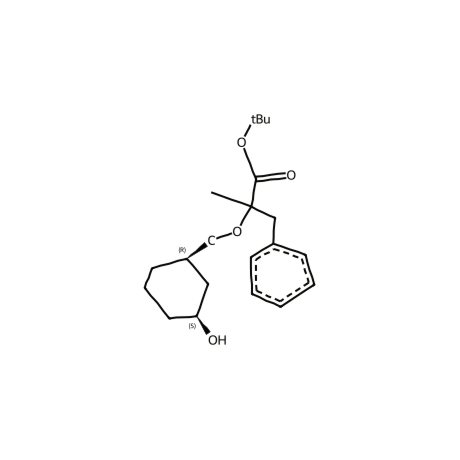 CC(C)(C)OC(=O)C(C)(Cc1ccccc1)OC[C@@H]1CCC[C@H](O)C1